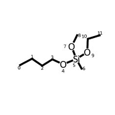 CCCCO[Si](C)(OC)OCC